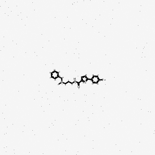 CN(CCCNC(=O)c1ccc(-c2ccc(F)cc2)s1)Cc1ccccc1